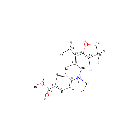 CCN(c1ccc(C(=O)OC)cc1)c1cc2c(c(C(C)C)c1C)OCC2(C)C